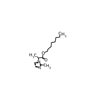 CCCCCCCCOC(=O)C(C)n1ccnc1C